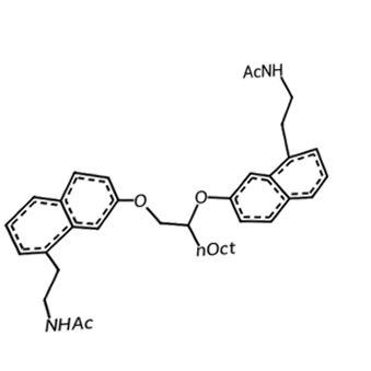 CCCCCCCCC(COc1ccc2cccc(CCNC(C)=O)c2c1)Oc1ccc2cccc(CCNC(C)=O)c2c1